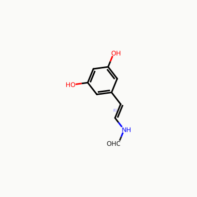 O=CN/C=C/c1cc(O)cc(O)c1